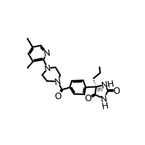 CCC[C@]1(c2ccc(C(=O)N3CCN(c4ncc(C)cc4C)CC3)cc2)NC(=O)NC1=O